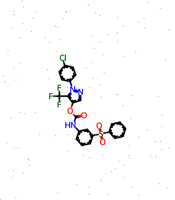 O=C(Nc1cccc(S(=O)(=O)c2ccccc2)c1)Oc1cnn(-c2ccc(Cl)cc2)c1C(F)(F)F